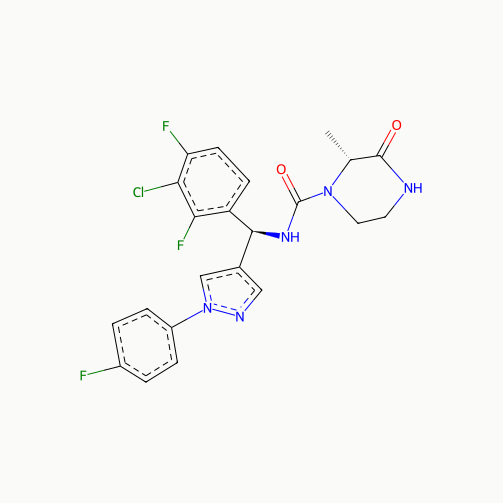 C[C@@H]1C(=O)NCCN1C(=O)N[C@@H](c1cnn(-c2ccc(F)cc2)c1)c1ccc(F)c(Cl)c1F